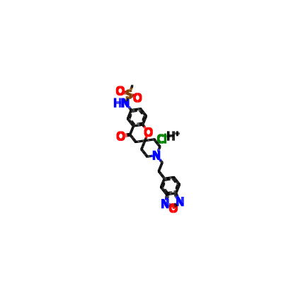 CS(=O)(=O)Nc1ccc2c(c1)C(=O)CC1(CCN(CCc3ccc4nonc4c3)CC1)O2.[Cl-].[H+]